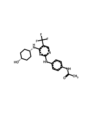 CC(=O)Nc1ccc(Nc2ncc(C(F)(F)F)c(N[C@H]3CC[C@@H](O)CC3)n2)cc1